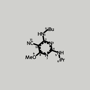 CCC(C)Nc1nc(NC(C)C)nc(OC)c1C#N